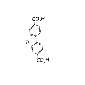 O=C(O)c1ccc(-c2ccc(C(=O)O)cc2)cc1.[Ti]